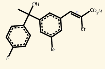 CC/C(=C\c1cc(Br)cc(C(C)(O)c2ccc(F)cc2)c1)C(=O)O